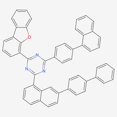 c1ccc(-c2ccc(-c3ccc4cccc(-c5nc(-c6ccc(-c7cccc8ccccc78)cc6)nc(-c6cccc7c6oc6ccccc67)n5)c4c3)cc2)cc1